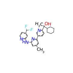 Cc1cc(Nc2cc(C(F)F)ccn2)nc(-c2ccc(C(C)(O)C3CCCCC3)nc2)c1